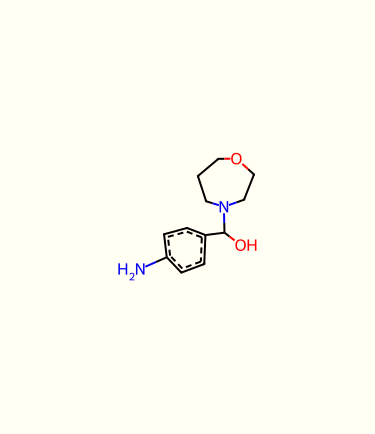 Nc1ccc(C(O)N2CCCOCC2)cc1